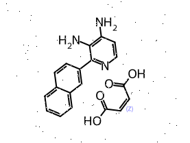 Nc1ccnc(-c2ccc3ccccc3c2)c1N.O=C(O)/C=C\C(=O)O